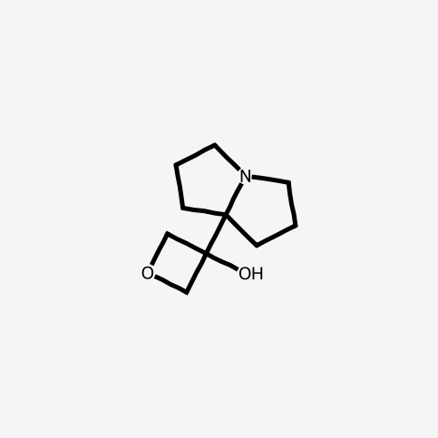 OC1(C23CCCN2CCC3)COC1